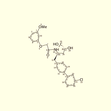 COc1cccc(OCC(=O)N[C@H](Cc2ccc(-c3cccc(Cl)c3)cc2)C[C@@H](O)C(=O)O)c1